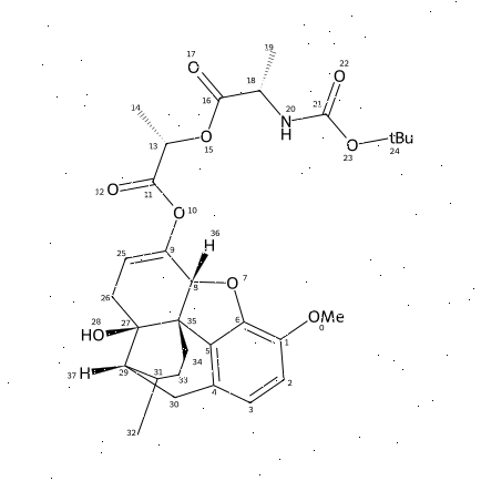 COc1ccc2c3c1O[C@H]1C(OC(=O)[C@H](C)OC(=O)[C@H](C)NC(=O)OC(C)(C)C)=CC[C@@]4(O)[C@@H](C2)C(C)CC[C@]314